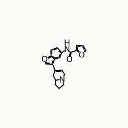 O=C(Nc1ccc2occ(C3=CCN4CCCC4C3)c2c1)c1ccco1